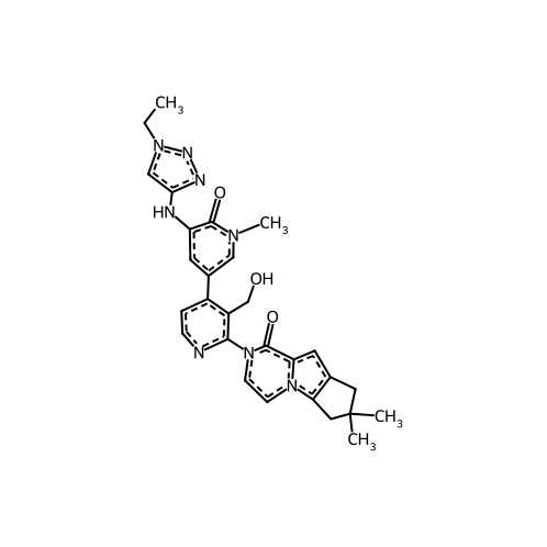 CCn1cc(Nc2cc(-c3ccnc(-n4ccn5c6c(cc5c4=O)CC(C)(C)C6)c3CO)cn(C)c2=O)nn1